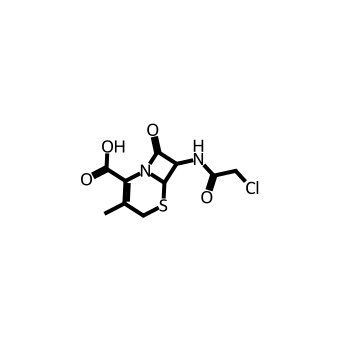 CC1=C(C(=O)O)N2C(=O)C(NC(=O)CCl)C2SC1